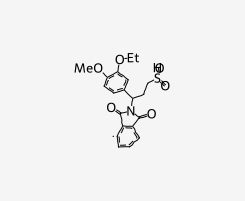 CCOc1cc(C(CC[SH](=O)=O)N2C(=O)c3[c]cccc3C2=O)ccc1OC